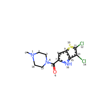 CN1CCN(C(=O)c2cc3sc(Cl)c(Cl)c3[nH]2)CC1